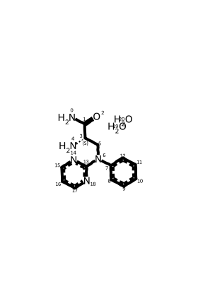 NC(=O)[C@@H](N)CN(c1ccccc1)c1ncccn1.O.O